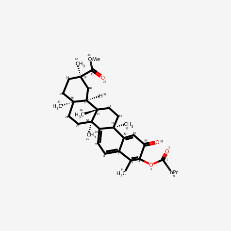 CCCC(=O)OC1=C(C)C2=CC=C3[C@@](C)(CC[C@@]4(C)[C@@H]5C[C@](C)(C(=O)OC)CC[C@]5(C)CC[C@]34C)C2=CC1=O